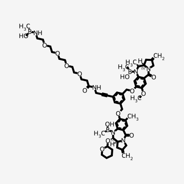 C=C1C[C@H]2[C@H](C)N(B(C)O)c3cc(OCc4cc(C#CCNC(=O)CCOCCOCCOCCOCCNB(C)O)cc(COc5cc6c(cc5C)C(=O)N5CC(=C)C[C@H]5[C@H](OC5CCCCO5)N6B(C)O)c4)c(OC)cc3C(=O)N2C1